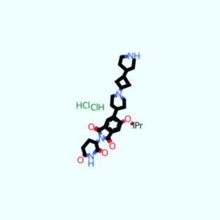 CC(C)Oc1cc2c(cc1C1CCN(C3CC(C4CCNCC4)C3)CC1)C(=O)N(C1CCC(=O)NC1=O)C2=O.Cl.Cl